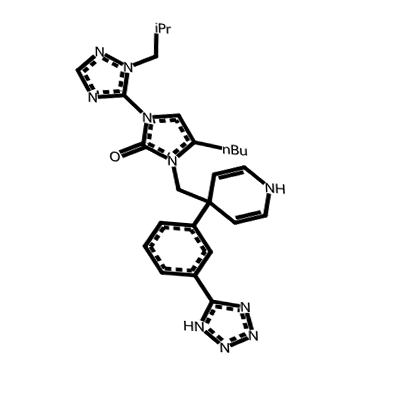 CCCCc1cn(-c2ncnn2CC(C)C)c(=O)n1CC1(c2cccc(-c3nnn[nH]3)c2)C=CNC=C1